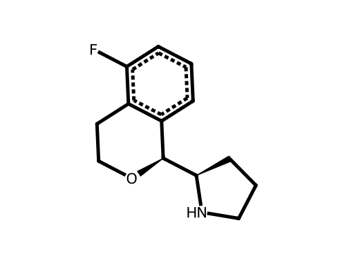 Fc1cccc2c1CCO[C@@H]2[C@H]1CCCN1